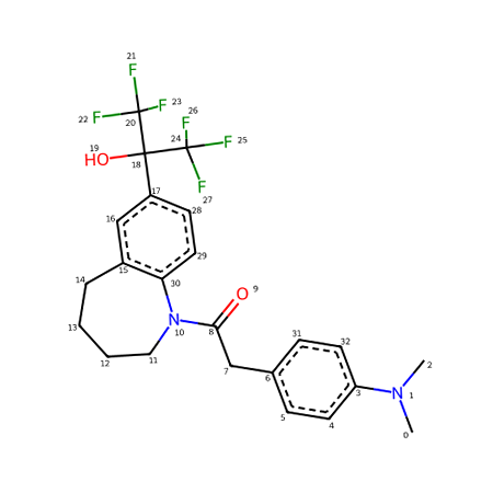 CN(C)c1ccc(CC(=O)N2CCCCc3cc(C(O)(C(F)(F)F)C(F)(F)F)ccc32)cc1